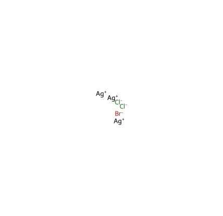 [Ag+].[Ag+].[Ag+].[Br-].[Cl-].[Cl-]